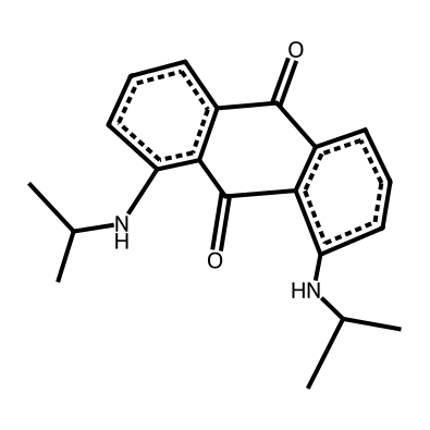 CC(C)Nc1cccc2c1C(=O)c1c(NC(C)C)cccc1C2=O